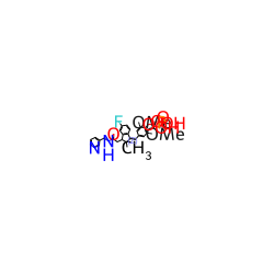 COc1cc(/C=C2\c3ccc(F)cc3C(CC(=O)NCc3cccnc3)C2C)cc(OC)c1OCOP(=O)(O)O